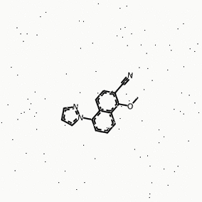 COc1c(C#N)ccc2c(-n3cccn3)cccc12